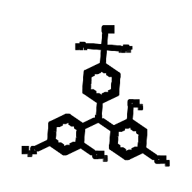 CCCC(O)(CCC)c1ccc(N(c2ccc(C)cc2C)c2ccc(C)cc2C)cc1